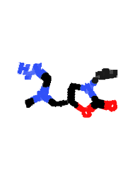 CCCCN1C[C@@H](CN(C)CN)OC1=O